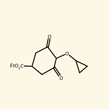 CCOC(=O)C1CC(=O)C(OC2CC2)C(=O)C1